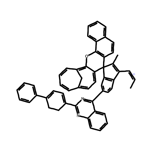 C/C=C\C1=C(C)C2(C3=CC=C4C=CC=CC(=C3Oc3c2ccc2ccccc32)C4)c2cc(-c3nc(C4=CC=C(c5ccccc5)CC4)nc4ccccc34)ccc21